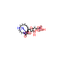 NC1=N\C23CCCCCCCCCC(C4OC(CCOP(=O)(O)O)C(O)C4O)(CC2)C(/C=C\1)CC3=O